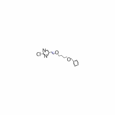 Clc1ncc(/C=C/OCCCCOCc2ccccc2)cn1